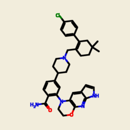 CC1(C)CCC(CN2CCC(c3ccc(C(N)=O)c(N4CCOc5nc6[nH]ccc6cc54)c3)CC2)=C(c2ccc(Cl)cc2)C1